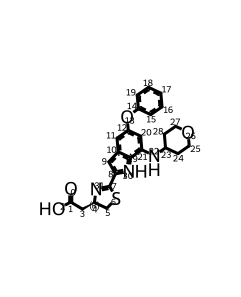 O=C(O)C[C@@H]1CSC(c2cc3cc(Oc4ccccc4)cc(NC4CCOCC4)c3[nH]2)=N1